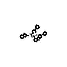 N/C(=N\C(=N/Cc1ccc2ccccc2c1)c1ccc(-c2ccccc2)cc1)c1cccc2oc3cc(-c4ccccc4)ccc3c12